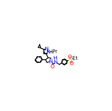 CCS(=O)(=O)c1ccc(CNC(=O)N2CC(c3ccccc3)C(c3cc(C4CC4)nn3C(C)C)C2)cc1